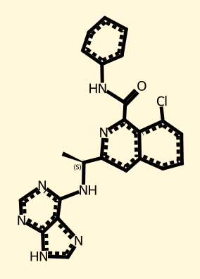 C[C@H](Nc1ncnc2[nH]cnc12)c1cc2cccc(Cl)c2c(C(=O)Nc2ccccc2)n1